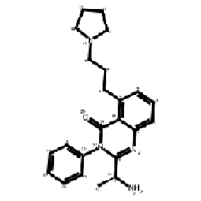 C[C@H](N)c1nc2cccc(CCCN3CCCC3)c2c(=O)n1-c1ccccc1